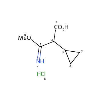 COC(=N)C(C(=O)O)C1CC1.Cl